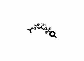 Cc1ccc(S(=O)(=O)OCC(O)CP(C)(=O)OCC(C)C)cc1